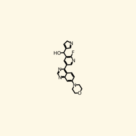 OC(C1=CCN=C1)c1cc(-c2ncnc3cc(N4CCOCC4)ccc23)cnc1F